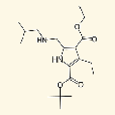 CCOC(=O)c1c(CNCC(C)C)[nH]c(C(=O)OC(C)(C)C)c1CC